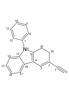 C#CC1=Cc2c(n(-c3ccccc3)c3ccccc23)CC1